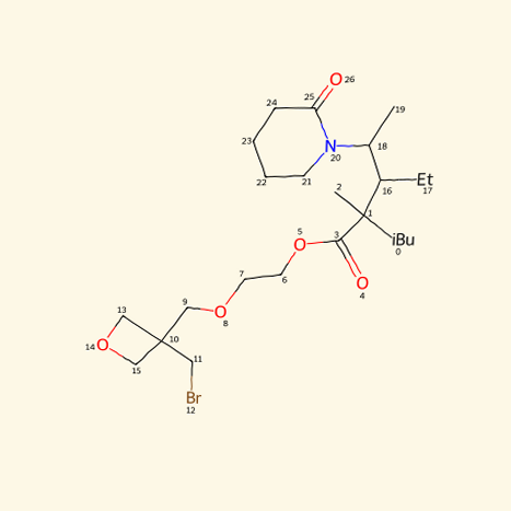 CCC(C)C(C)(C(=O)OCCOCC1(CBr)COC1)C(CC)C(C)N1CCCCC1=O